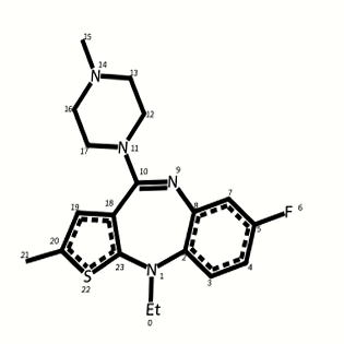 CCN1c2ccc(F)cc2N=C(N2CCN(C)CC2)c2cc(C)sc21